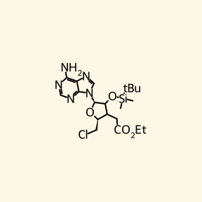 CCOC(=O)CC1C(O[Si](C)(C)C(C)(C)C)[C@H](n2cnc3c(N)ncnc32)O[C@@H]1CCl